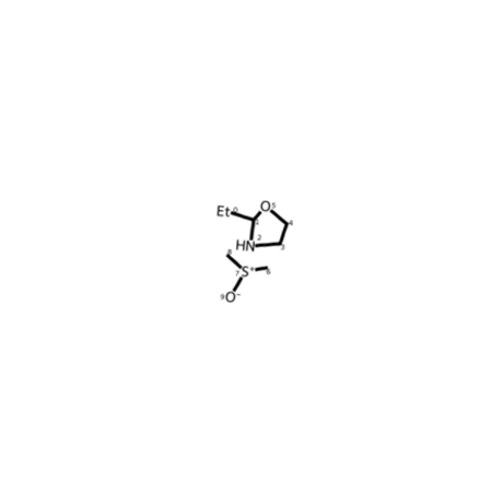 CCC1NCCO1.C[S+](C)[O-]